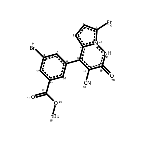 CCc1ccc2c(-c3cc(Br)cc(C(=O)OC(C)(C)C)c3)c(C#N)c(=O)[nH]n12